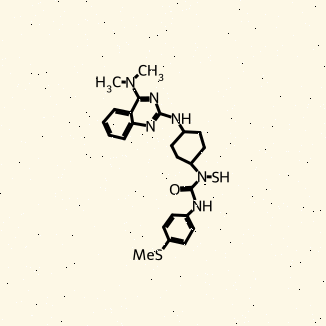 CSc1ccc(NC(=O)N(S)C2CCC(Nc3nc(N(C)C)c4ccccc4n3)CC2)cc1